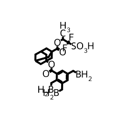 BCc1cc(CB)c(CB)c(C(=O)OC23CC4CC(C2)CC(C(=O)OC(C)C(F)(F)S(=O)(=O)O)(C4)C3)c1